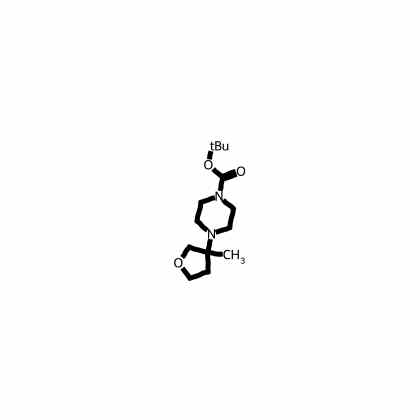 CC(C)(C)OC(=O)N1CCN(C2(C)CCOC2)CC1